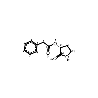 O=C(Cc1ccccc1)O[C@@H]1CCOC1=O